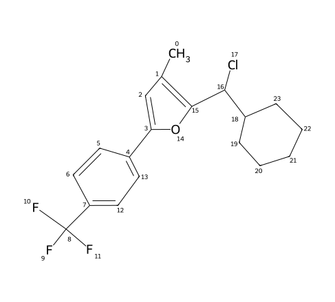 Cc1cc(-c2ccc(C(F)(F)F)cc2)oc1C(Cl)C1CCCCC1